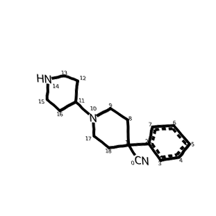 N#CC1(c2ccccc2)CCN(C2CCNCC2)CC1